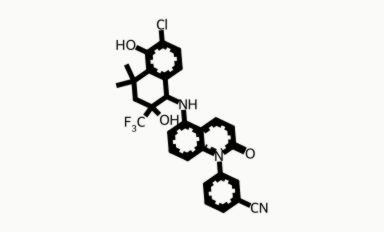 CC1(C)CC(O)(C(F)(F)F)C(Nc2cccc3c2ccc(=O)n3-c2cccc(C#N)c2)c2ccc(Cl)c(O)c21